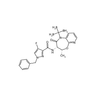 BC(B)(B)N1C(=O)[C@@H](NC(=O)c2nn(Cc3ccccc3)cc2F)[C@@H](C)Oc2ncccc21